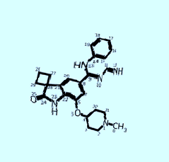 CN1CCC(Oc2cc(/C(=N/C=N)Nc3ccccc3)cc3c2NC(=O)C32CCC2)CC1